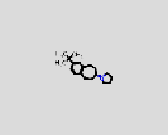 CC(C)(C)c1ccc2c(c1)CCC(N1CCCC1)CC2